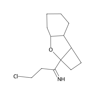 N=C(CCCl)C12CCC1C1CCCCC1O2